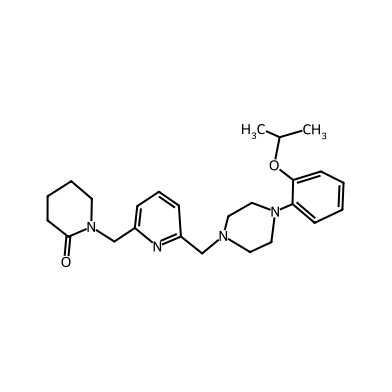 CC(C)Oc1ccccc1N1CCN(Cc2cccc(CN3CCCCC3=O)n2)CC1